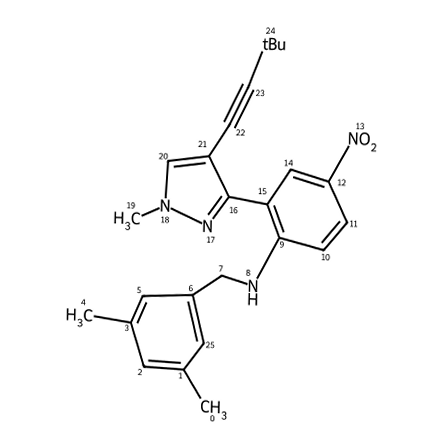 Cc1cc(C)cc(CNc2ccc([N+](=O)[O-])cc2-c2nn(C)cc2C#CC(C)(C)C)c1